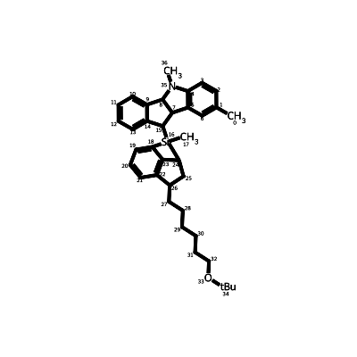 Cc1ccc2c(c1)C1C(c3ccccc3C1[Si]1(C)c3cccc4c3C1CC4CCCCCCOC(C)(C)C)N2C